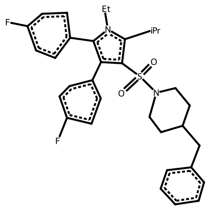 CCn1c(-c2ccc(F)cc2)c(-c2ccc(F)cc2)c(S(=O)(=O)N2CCC(Cc3ccccc3)CC2)c1C(C)C